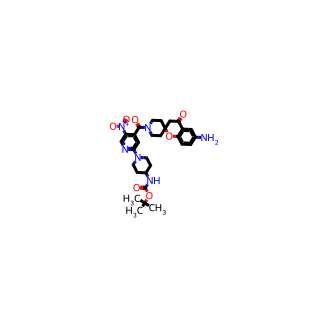 CC(C)(C)OC(=O)NC1CCN(c2cc(C(=O)N3CCC4(CC3)CC(=O)c3cc(N)ccc3O4)c([N+](=O)[O-])cn2)CC1